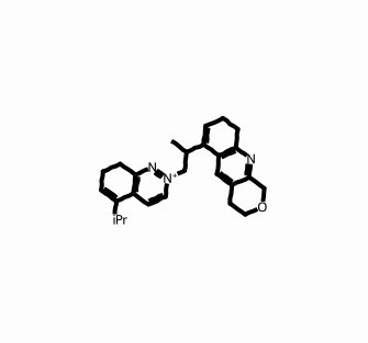 CC(C)C1=CCCc2n[n+](CC(C)C3=CCCc4nc5c(cc43)CCOC5)ccc21